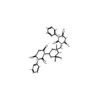 CC1(C)CC(N2C(=O)CC(=O)N(c3ccccc3)C2=O)CC(C)(CN2C(=O)CC(=O)N(c3ccccc3)C2=O)C1